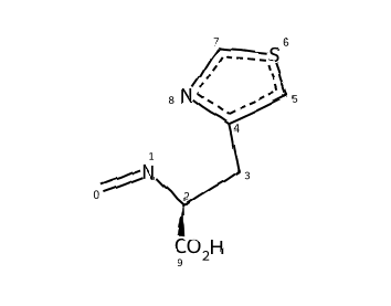 C=N[C@@H](Cc1cscn1)C(=O)O